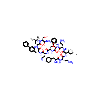 CCC(C)[C@H](NC(=O)[C@H](CCN)NC(=O)C(N)CC1CCCCC1)C(=O)N[C@@H](CCN)C(=O)N[C@H](Cc1ccccc1)C(=O)N[C@@H](CC(C)C)C(=O)N[C@@H](CCN)C(=O)N[C@H](Cc1ccc(-c2ccccc2)cc1)C(=O)N[C@@H](CC(C)C)C(=O)N[C@@H](CO)C(N)=O